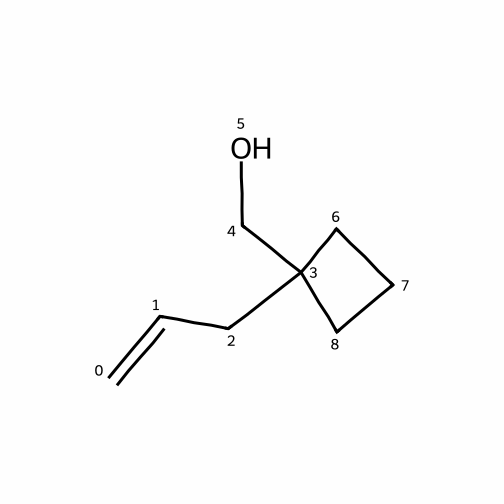 C=CCC1(CO)CCC1